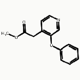 COC(=O)Cc1ccncc1Oc1ccccc1